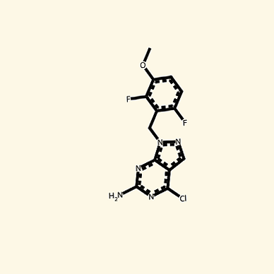 COc1ccc(F)c(Cn2ncc3c(Cl)nc(N)nc32)c1F